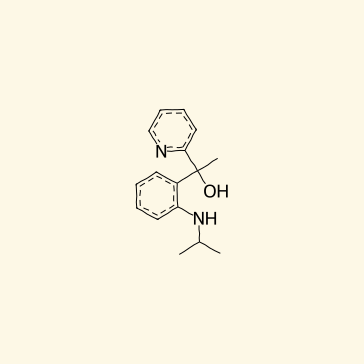 CC(C)Nc1ccccc1C(C)(O)c1ccccn1